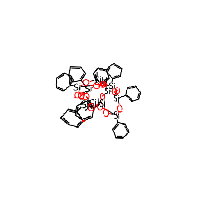 C[SiH]1O[Si]2(c3ccccc3)O[Si]3(c4ccccc4)O[Si]4(c5ccccc5)O[SiH](C)O[Si]5(c6ccccc6)O[Si](c6ccccc6)(O[Si](c6ccccc6)(O1)O[Si](c1ccccc1)(O5)O[Si](c1ccccc1)(O2)O4)O3